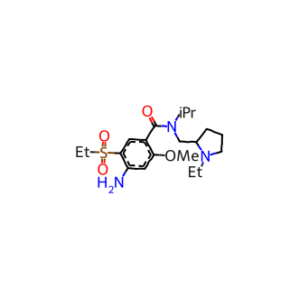 CCN1CCCC1CN(C(=O)c1cc(S(=O)(=O)CC)c(N)cc1OC)C(C)C